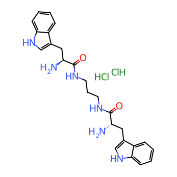 Cl.Cl.N[C@@H](Cc1c[nH]c2ccccc12)C(=O)NCCCNC(=O)[C@@H](N)Cc1c[nH]c2ccccc12